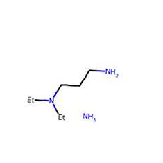 CCN(CC)CCCN.N